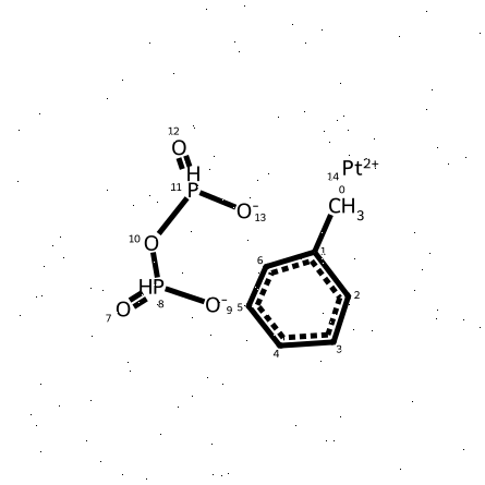 Cc1ccccc1.O=[PH]([O-])O[PH](=O)[O-].[Pt+2]